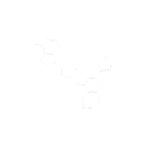 Cc1ncnc2c1ccn2C1CCC(Oc2cc(-c3cnoc3)cc3c2CNCC3)C1